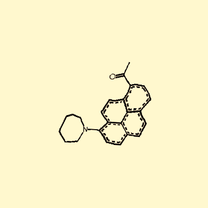 CC(=O)c1ccc2ccc3ccc(N4CCCCC4)c4ccc1c2c34